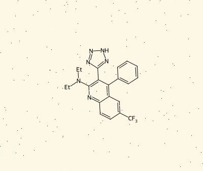 CCN(CC)c1nc2ccc(C(F)(F)F)cc2c(-c2ccccc2)c1-c1nn[nH]n1